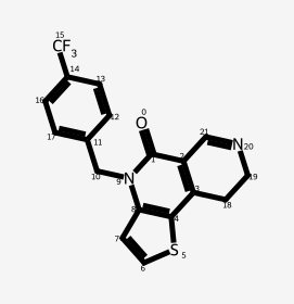 O=c1c2c(c3sccc3n1Cc1ccc(C(F)(F)F)cc1)CCN=C2